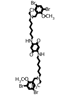 CCN(CCCCCCNC1=CC(=O)C(NCCCCCCN(CC)Cc2cc(Br)cc(Br)c2OC)=CC1=O)Cc1cc(Br)cc(Br)c1OC